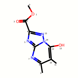 COC(=O)c1nc2nc(C)c(C)c(O)n2n1